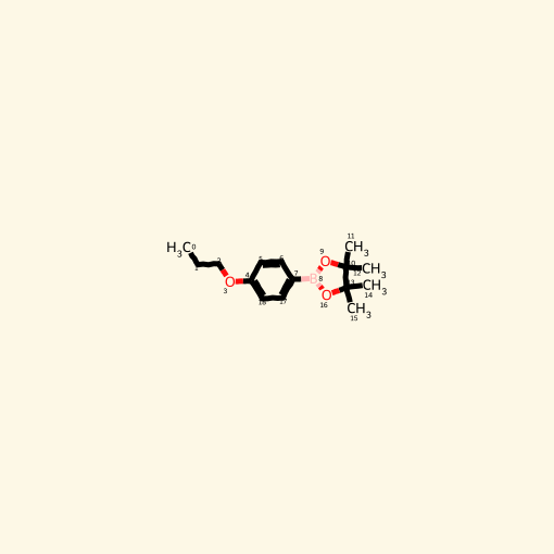 CCCOc1ccc(B2OC(C)(C)C(C)(C)O2)cc1